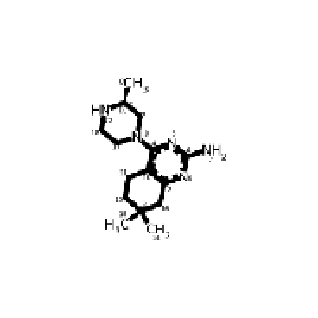 C[C@H]1CN(c2nc(N)nc3c2CCC(C)(C)C3)CCN1